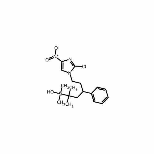 CC(C)(CC(CCn1cc([N+](=O)[O-])nc1Cl)c1ccccc1)[Si](C)(C)O